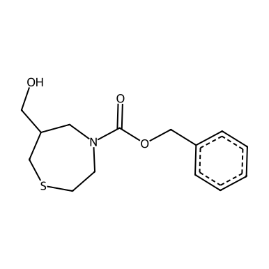 O=C(OCc1ccccc1)N1CCSCC(CO)C1